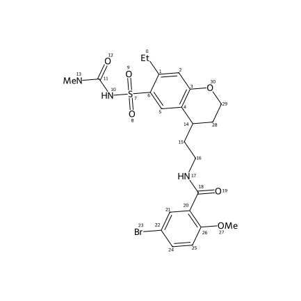 CCc1cc2c(cc1S(=O)(=O)NC(=O)NC)C(CCNC(=O)c1cc(Br)ccc1OC)CCO2